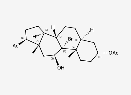 CC(=O)O[C@@H]1CC[C@@]2(C)[C@@H](CC[C@H]3[C@@H]4CC[C@H](C(C)=O)[C@@]4(C)C[C@H](O)[C@@]32Br)C1